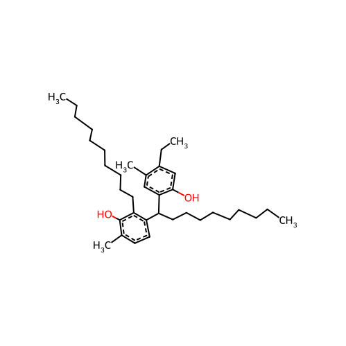 CCCCCCCCCCc1c(C(CCCCCCCCC)c2cc(C)c(CC)cc2O)ccc(C)c1O